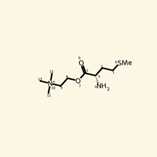 CSCC[C@H](N)C(=O)OCC[N+](C)(C)C